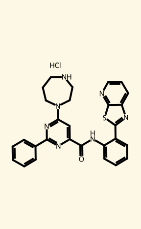 Cl.O=C(Nc1ccccc1-c1nc2cccnc2s1)c1cc(N2CCCNCC2)nc(-c2ccccc2)n1